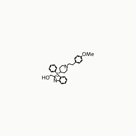 COc1ccc(CCN2CCC(S3(c4ccccc4)C(CO)=Nc4ccccc43)CC2)cc1